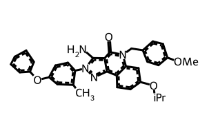 COc1ccc(Cn2c(=O)c3c(N)n(-c4ccc(Oc5ccccc5)cc4C)nc3c3ccc(OC(C)C)cc32)cc1